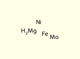 [Fe].[MgH2].[Mo].[Ni]